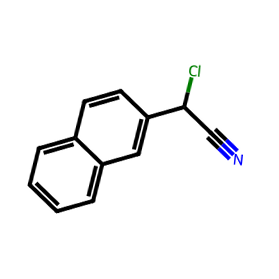 N#CC(Cl)c1ccc2ccccc2c1